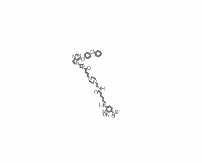 O=C(CCCCCNc1ccc([N+](=O)[O-])c2nonc12)NCCN1CCN(CC=CC(=O)N2CC(n3ccc4ncnc(Oc5ccc(Oc6ccccc6)cc5)c43)C2)CC1